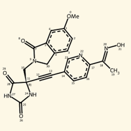 COc1ccc2c(c1)C(=O)N(C[C@@]1(C#Cc3ccc(C(C)=NO)nc3)NC(=O)NC1=O)C2